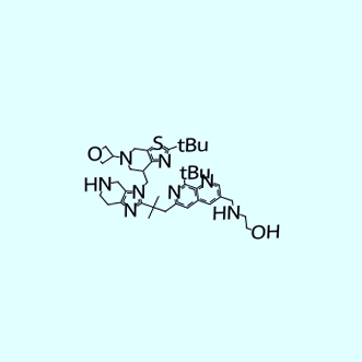 CC(C)(C)c1nc2c(s1)CN(C1COC1)CC2Cn1c(C(C)(C)Cc2cc3cc(CNCCO)cnc3c(C(C)(C)C)n2)nc2c1CNCC2